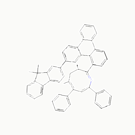 C/C1=C(c2ccccc2)/C=C(c2ccccc2)\N=C(\c2cccc3c4ccccc4c4ccc(-c5ccc6c(c5)C(C)(C)c5ccccc5-6)cc4c23)[C@H](C)C1